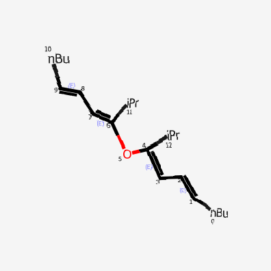 CCCC/C=C/C=C(/O/C(=C/C=C/CCCC)C(C)C)C(C)C